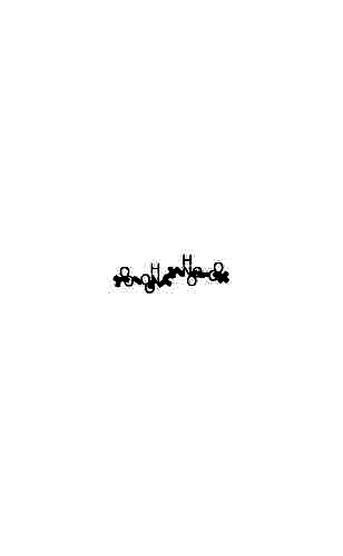 C=C(C)C(=O)OCCOC(=O)NCC(C)CC(C)(C)CCNC(=O)OCCOC(=O)C(C)(C)C